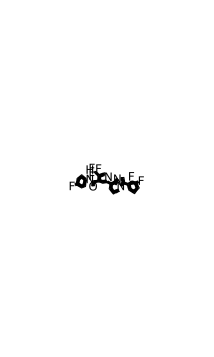 O=C(Nc1ccc(F)cc1)c1cc(-c2cccn3c(-c4cccc(F)c4F)cnc23)ncc1C(F)(F)F